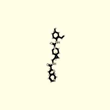 CCC1=C(NC(=O)N2CCC3(CC2)CC3CNC(=O)c2cc3ccncc3o2)CCC(C)C1